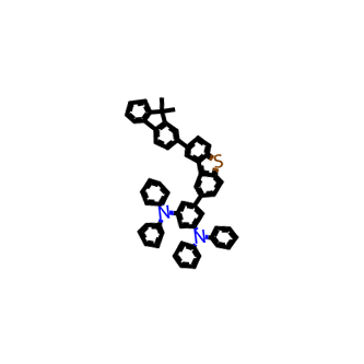 CC1(C)c2ccccc2-c2ccc(-c3ccc4sc5ccc(-c6cc(N(c7ccccc7)c7ccccc7)cc(N(c7ccccc7)c7ccccc7)c6)cc5c4c3)cc21